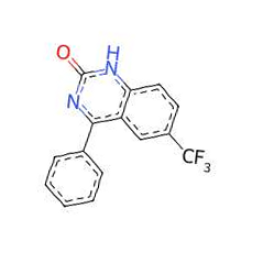 O=c1nc(-c2ccccc2)c2cc(C(F)(F)F)ccc2[nH]1